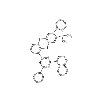 CC1(C)c2ccccc2-c2cc3c(cc21)Oc1c(cccc1-c1nc(-c2ccccc2)nc(-c2cccc4ccccc24)n1)O3